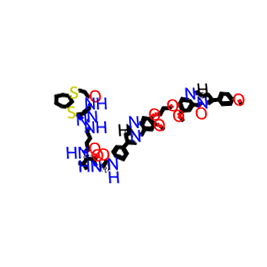 COc1ccc(C2=CN3C(=O)c4cc(OC)c(OCCCOc5cc6c(cc5OC)CN5C=C(c7ccc(NC(=O)[C@H](C)NC(=O)[C@@H](NC(=O)CCCNc8nc9cc(n8)SC8CCCCC(C8)SCCC(=O)N9)C(C)C)cc7)C[C@H]5C=N6)cc4N=C[C@@H]3C2)cc1